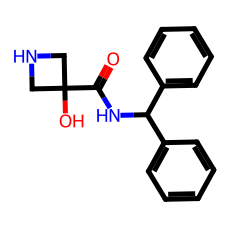 O=C(NC(c1ccccc1)c1ccccc1)C1(O)CNC1